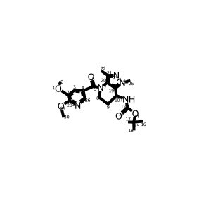 COc1cc(C(=O)N2CCC(NC(=O)OC(C)(C)C)c3c2c(C)nn3C)cnc1OC